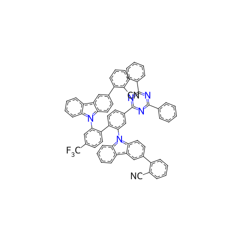 N#Cc1ccccc1-c1ccc2c(c1)c1ccccc1n2-c1cc(-c2nc(-c3ccccc3)nc(-c3ccccc3)n2)ccc1-c1ccc(C(F)(F)F)cc1-n1c2ccccc2c2cc(-c3ccccc3C#N)ccc21